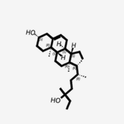 CCC(C)(O)CC[C@@H](C)[C@H]1CC[C@H]2[C@@H]3CC=C4C[C@@H](O)CC[C@]4(C)[C@H]3CC[C@]12C